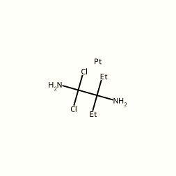 CCC(N)(CC)C(N)(Cl)Cl.[Pt]